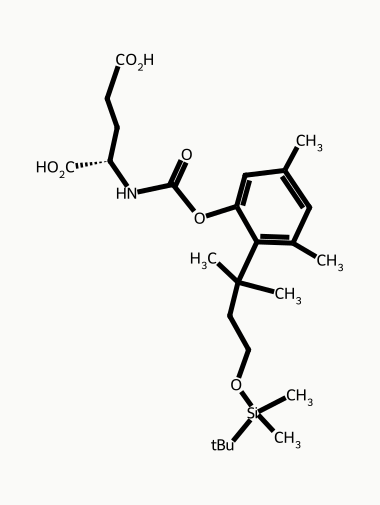 Cc1cc(C)c(C(C)(C)CCO[Si](C)(C)C(C)(C)C)c(OC(=O)N[C@@H](CCC(=O)O)C(=O)O)c1